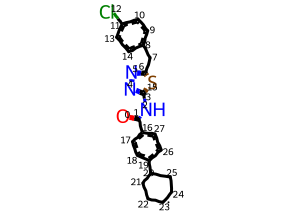 O=C(Nc1nnc(Cc2ccc(Cl)cc2)s1)c1ccc(C2CC[CH]CC2)cc1